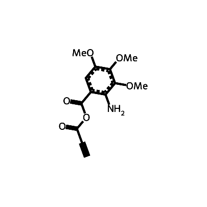 C#CC(=O)OC(=O)c1cc(OC)c(OC)c(OC)c1N